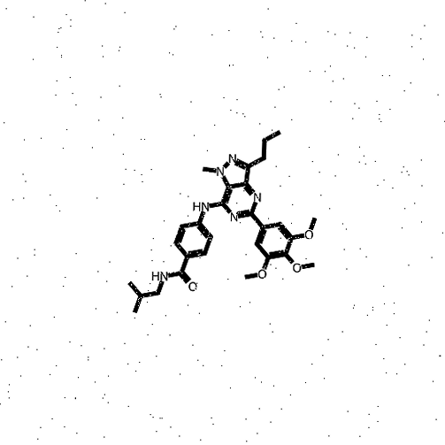 CCCc1nn(C)c2c(Nc3ccc(C(=O)NCC(C)C)cc3)nc(-c3cc(OC)c(OC)c(OC)c3)nc12